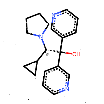 OC(c1cccnc1)(c1cccnc1)[C@H](C1CC1)N1CCCC1